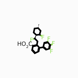 C[C@H]1CC[C@H](C(F)Cc2c(C(=O)O)cccc2-c2cc(F)c(F)c(F)c2)C(F)C1